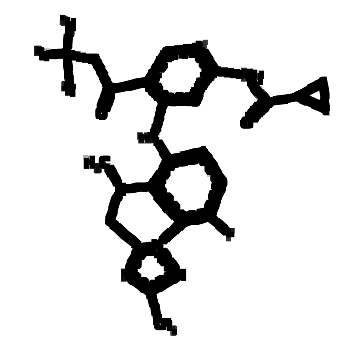 [2H]C([2H])([2H])CC(=O)c1cnc(NC(=O)C2CC2)cc1Nc1ccc(F)c2c1N(C)Cc1nc(C)nn1-2